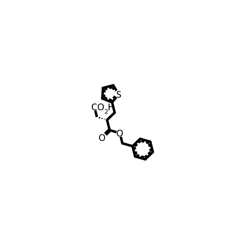 O=C(O)C[C@H](Cc1cccs1)C(=O)OCc1ccccc1